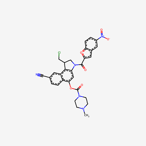 CN1CCN(C(=O)Oc2cc3c(c4cc(C#N)ccc24)C(CCl)CN3C(=O)c2cc3cc([N+](=O)[O-])ccc3o2)CC1